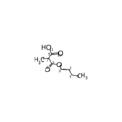 CCCCOC(=O)C(C)C(=O)O